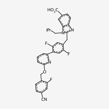 CC(C)Cn1c(Cc2cc(F)c(-c3cccc(OCc4ccc(C#N)cc4F)n3)cc2F)nc2ccc(C(=O)O)cc21